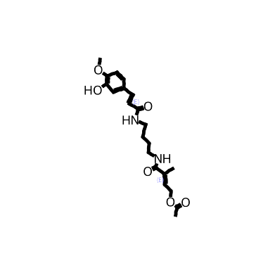 COc1ccc(/C=C/C(=O)NCCCCNC(=O)/C(C)=C/COC(C)=O)cc1O